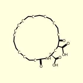 O=C1CCCCCCCCCCCCCCCCCCC(=O)C(C(=O)O)C[C@@H](C(=O)O)N1